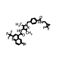 Cc1nn(Cc2ccc(C(=O)NCC3CC3(F)F)cc2)c(C)c1NC(=O)c1cc(C(F)(F)F)nc2ccc(Br)cc12